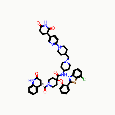 O=C1CCC(c2ccc(N3CCC(CN4CCC(NC(=O)C5(Oc6ccccc6-c6nc7cccc(Cl)c7s6)CCN(C(=O)[C@H]6CC(=O)Nc7ccccc76)CC5)CC4)CC3)nc2)C(=O)N1